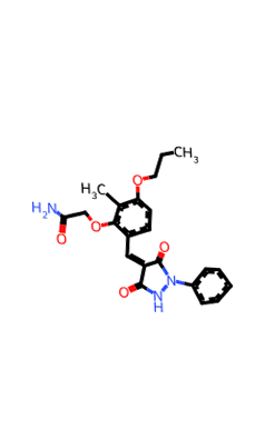 CCCOc1ccc(C=C2C(=O)NN(c3ccccc3)C2=O)c(OCC(N)=O)c1C